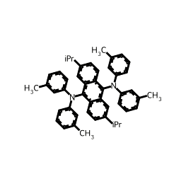 Cc1cccc(N(c2cccc(C)c2)c2c3ccc(C(C)C)cc3c(N(c3cccc(C)c3)c3cccc(C)c3)c3ccc(C(C)C)cc23)c1